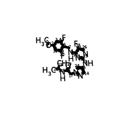 COc1cc(F)c(CNc2nc(Nc3cnn(CC(=O)NC(C)C)c3)ncc2F)c(F)c1